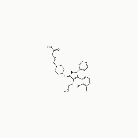 COCCc1c(-c2cccc(F)c2F)c(-c2ccccc2)nn1C[C@H]1CC[C@H](COCC(=O)O)CC1